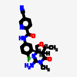 C[C@H]1OC[C@]2(c3cc(NC(=O)c4ccc(C#N)cn4)ccc3F)N=C(N)N(C)C(=O)[C@H]12